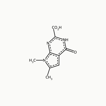 Cc1cc2c(=O)[nH]c(C(=O)O)nc2n1C